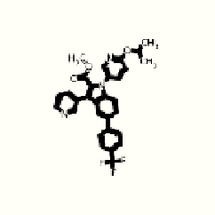 COC(=O)c1c(-c2cccnc2)c2cc(-c3ccc(C(F)(F)F)cc3)ccc2n1-c1ccc(OC(C)C)nc1